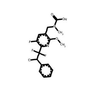 COc1nc(C(F)(F)C(Cl)c2ccccc2)c(F)cc1CN(C)C(=O)O